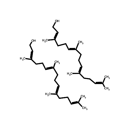 CC(C)=CCCC(C)=CCCC(C)=CCCC(C)=CCO.CC(C)=CCCC(C)=CCCC(C)=CCCC(C)=CCO